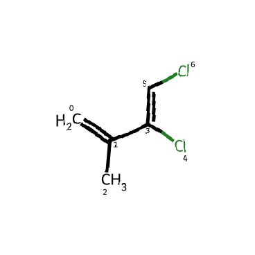 C=C(C)/C(Cl)=C/Cl